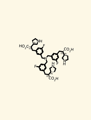 O=C(O)[C@@H](Cc1cc(F)cc(CN(Cc2cc(F)cc(C[C@H](C(=O)O)[C@H]3CCNC3)c2)Cc2cc(F)cc(C[C@H](C(=O)O)[C@H]3CCNC3)c2)c1)[C@H]1CCNC1